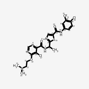 CC(NC(=O)c1ncnc(OCCN(C)C)c1Cl)c1ncc(C(=O)Nc2ccc(Cl)c(C(F)(F)F)c2)s1